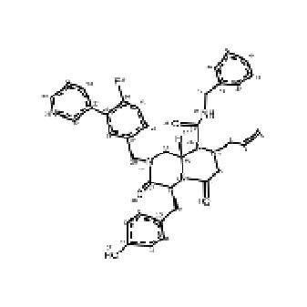 C=CCN1CC(=O)N2[C@@H](Cc3ccc(O)cc3)C(=O)N(Cc3ccc(F)c(-c4cccnc4)c3)C[C@@H]2N1C(=O)NCc1ccccc1